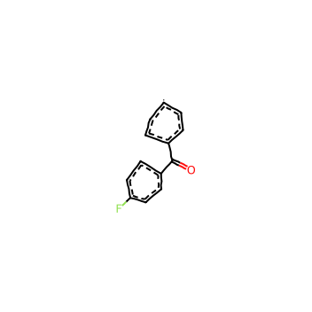 O=C(c1cc[c]cc1)c1ccc(F)cc1